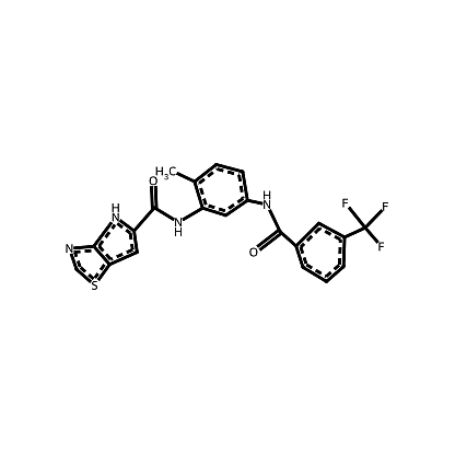 Cc1ccc(NC(=O)c2cccc(C(F)(F)F)c2)cc1NC(=O)c1cc2scnc2[nH]1